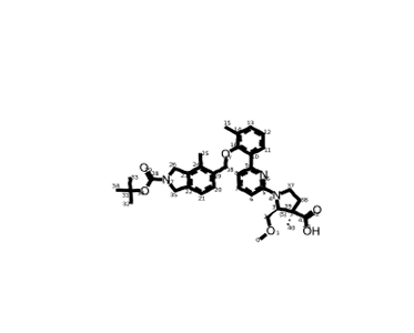 COC[C@H]1N(c2cccc(-c3cccc(C)c3OCc3ccc4c(c3C)CN(C(=O)OC(C)(C)C)C4)n2)CC[C@@]1(C)C(=O)O